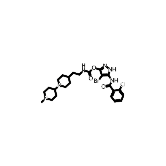 CN1CCC(N2CCC(CCNC(=O)Oc3n[nH]c(NC(=O)c4ccccc4Cl)c3Br)CC2)CC1